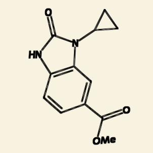 COC(=O)c1ccc2[nH]c(=O)n(C3CC3)c2c1